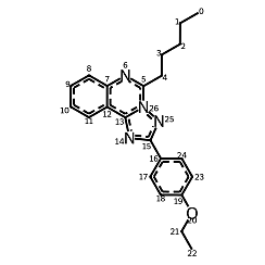 CCCCCc1nc2ccccc2c2nc(-c3ccc(OCC)cc3)nn12